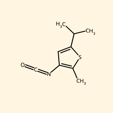 Cc1sc(C(C)C)cc1N=C=O